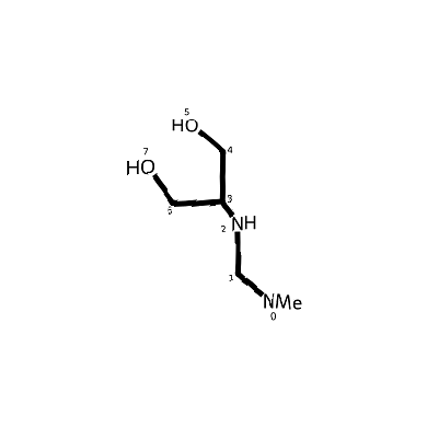 CNCNC(CO)CO